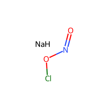 O=NOCl.[NaH]